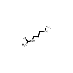 CNCCCNC(C)S